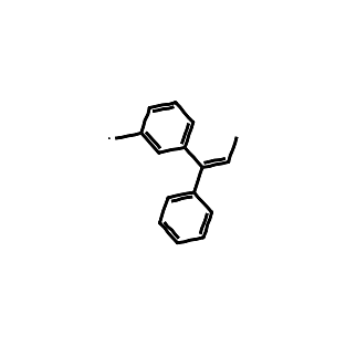 [CH2]c1cccc(/C(=C\C)c2ccccc2)c1